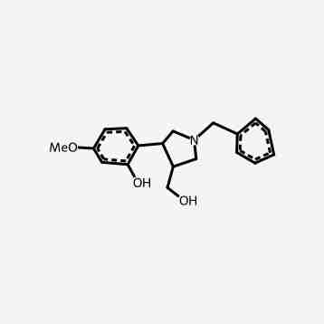 COc1ccc(C2CN(Cc3ccccc3)CC2CO)c(O)c1